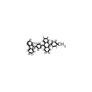 Cc1ccc(-c2c3ccccc3c(-c3ccc(-n4c5ccccc5c5ccccc54)cc3)c3ccccc23)cc1